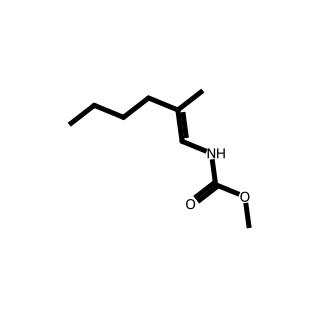 CCCCC(C)=CNC(=O)OC